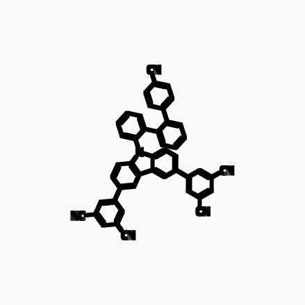 N#Cc1ccc(-c2ccccc2-c2ccccc2-n2c3ccc(-c4cc(C#N)cc(C#N)c4)cc3c3cc(-c4cc(C#N)cc(C#N)c4)ccc32)cc1